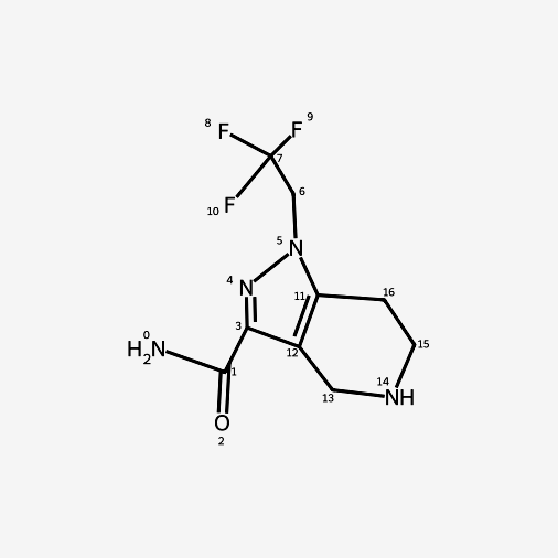 NC(=O)c1nn(CC(F)(F)F)c2c1CNCC2